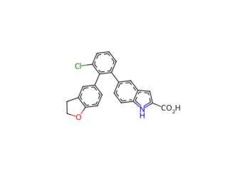 O=C(O)c1cc2cc(-c3cccc(Cl)c3-c3ccc4c(c3)CCO4)ccc2[nH]1